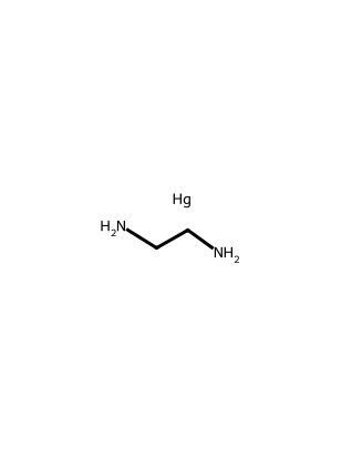 NCCN.[Hg]